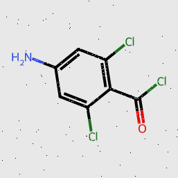 Nc1cc(Cl)c(C(=O)Cl)c(Cl)c1